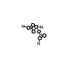 N#Cc1ccc2c(c1)c1ccccc1n2-c1ccc(-c2c(C#N)cccc2-c2ccccc2-n2c3ccccc3c3cc(C#N)ccc32)cc1